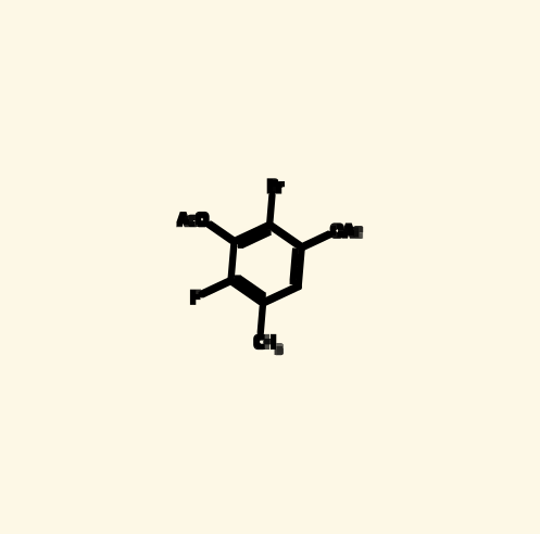 CC(=O)Oc1cc(C)c(F)c(OC(C)=O)c1Br